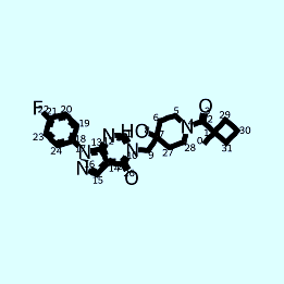 CC1(C(=O)N2CCC(O)(Cn3cnc4c(cnn4-c4ccc(F)cc4)c3=O)CC2)CCC1